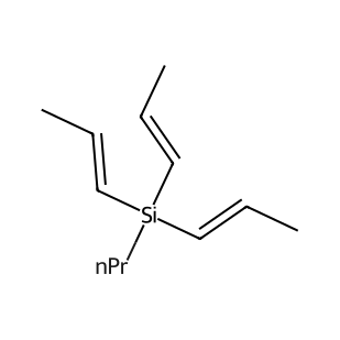 CC=C[Si](C=CC)(C=CC)CCC